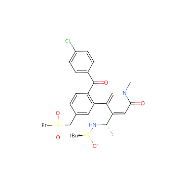 CCS(=O)(=O)Cc1ccc(C(=O)c2ccc(Cl)cc2)c(-c2cn(C)c(=O)cc2[C@H](C)N[S@@+]([O-])C(C)(C)C)c1